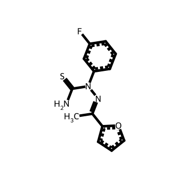 CC(=NN(C(N)=S)c1cccc(F)c1)c1ccco1